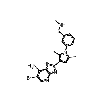 CNSc1cccc(-n2c(C)cc(-c3nc4ncc(Br)c(N)c4[nH]3)c2C)c1